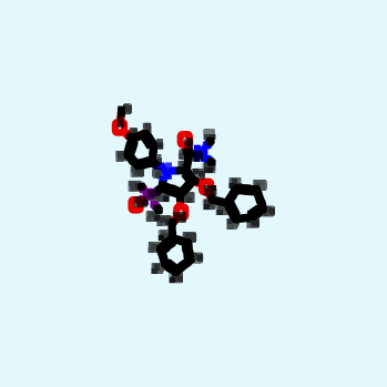 COc1ccc(-n2c(C(=O)N(C)C)c(OCc3ccccc3)c(OCc3ccccc3)c2P(C)(C)=O)cc1